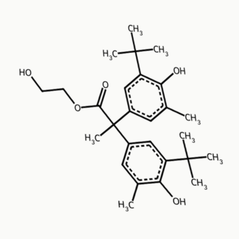 Cc1cc(C(C)(C(=O)OCCO)c2cc(C)c(O)c(C(C)(C)C)c2)cc(C(C)(C)C)c1O